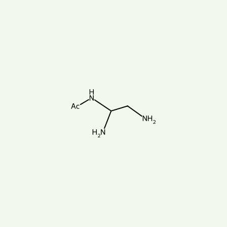 CC(=O)NC(N)CN